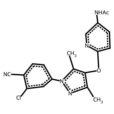 CC(=O)Nc1ccc(Oc2c(C)nn(-c3ccc(C#N)c(Cl)c3)c2C)nc1